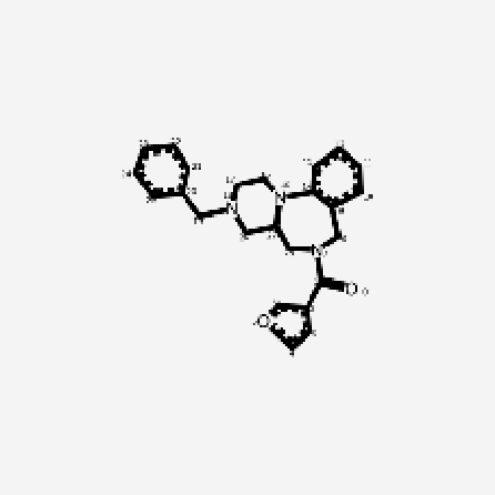 O=C(c1ccoc1)N1Cc2ccccc2N2CCN(Cc3ccccc3)CC2C1